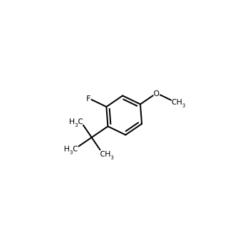 COc1ccc(C(C)(C)C)c(F)c1